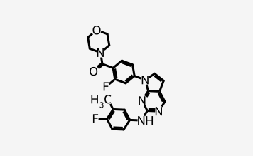 Cc1cc(Nc2ncc3ccn(-c4ccc(C(=O)N5CCOCC5)c(F)c4)c3n2)ccc1F